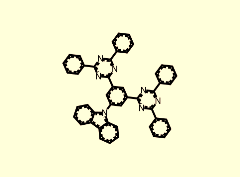 c1ccc(-c2nc(-c3ccccc3)nc(-c3cc(-c4nc(-c5ccccc5)nc(-c5ccccc5)n4)cc(-n4c5ccccc5c5ccccc54)c3)n2)cc1